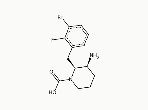 N[C@H]1CCCN(C(=O)O)[C@H]1Cc1cccc(Br)c1F